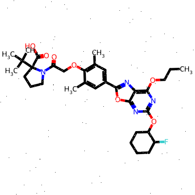 CCCOc1nc(OC2CCCCC2F)nc2oc(-c3cc(C)c(OCC(=O)N4CCCC4(C(=O)O)C(C)(C)C)c(C)c3)nc12